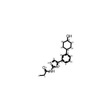 CCC(=O)Nc1nc(-c2cccc(C3CCC(O)CC3)c2)cs1